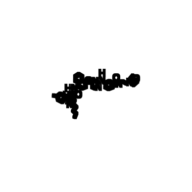 CCCCc1cc(NC(=O)Nc2ccc(Oc3ccnc(Nc4cccc(C(=O)NCCN5CCOCC5)c4)n3)c3ccccc23)n(-c2ccc(C)cc2)n1